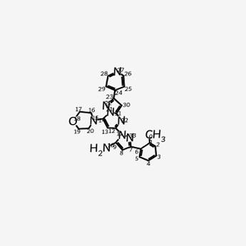 Cc1ccccc1-c1cc(N)n(-c2cc(N3CCOCC3)n3nc(-c4ccncc4)cc3n2)n1